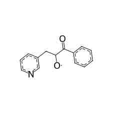 [O]C(Cc1cccnc1)C(=O)c1ccccc1